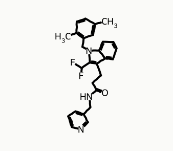 Cc1ccc(C)c(Cn2c(C(F)F)c(CCC(=O)NCc3cccnc3)c3ccccc32)c1